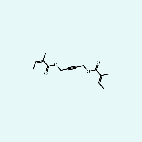 CC=C(C)C(=O)OCC#CCOC(=O)C(C)=CC